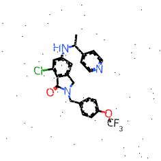 CC(Nc1cc(Cl)c2c(c1)CN(Cc1ccc(OC(F)(F)F)cc1)C2=O)c1ccncc1